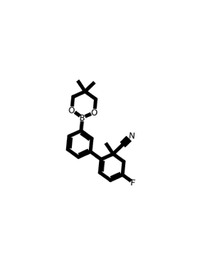 CC1(C)COB(c2cccc(C3=CC=C(F)CC3(C)C#N)c2)OC1